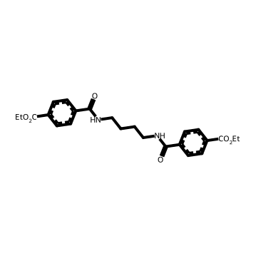 CCOC(=O)c1ccc(C(=O)NCCCCNC(=O)c2ccc(C(=O)OCC)cc2)cc1